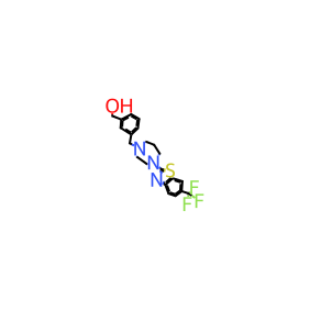 OCc1cccc(CN2CCCN(c3nc4ccc(C(F)(F)F)cc4s3)CC2)c1